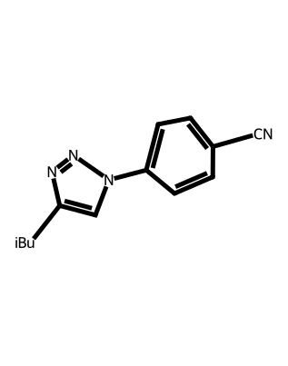 CCC(C)c1cn(-c2ccc(C#N)cc2)nn1